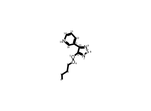 CCCCOOc1nsnc1-c1cccnc1